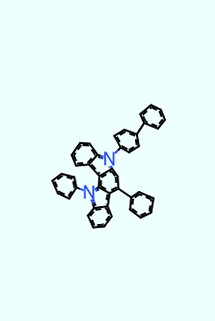 c1ccc(-c2ccc(-n3c4ccccc4c4c3cc(-c3ccccc3)c3c5ccccc5n(-c5ccccc5)c34)cc2)cc1